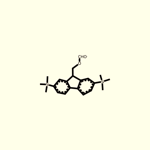 C[Si](C)(C)c1ccc2c(c1)C(CO[C]=O)c1cc([Si](C)(C)C)ccc1-2